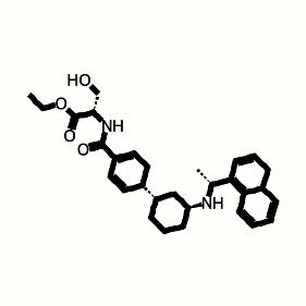 CCOC(=O)[C@H](CO)NC(=O)C1=CCC([C@H]2CCC[C@H](N[C@H](C)C3=C4C=CC=CC4CC=C3)C2)C=C1